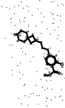 COC(=O)c1ccc(CCCC2CC3(CCNCC3)C2)cc1Cl